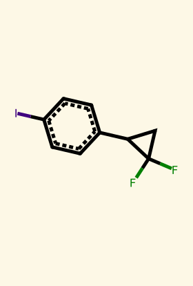 FC1(F)CC1c1ccc(I)cc1